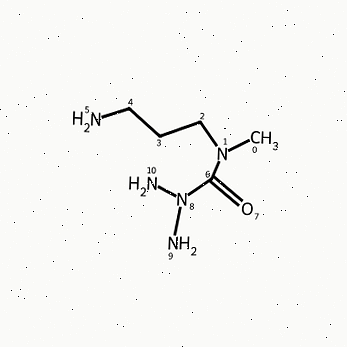 CN(CCCN)C(=O)N(N)N